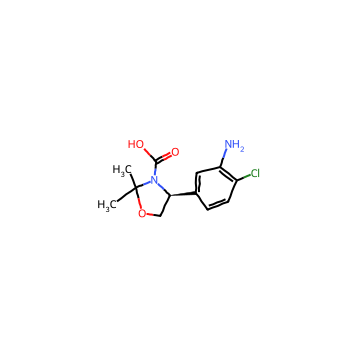 CC1(C)OC[C@H](c2ccc(Cl)c(N)c2)N1C(=O)O